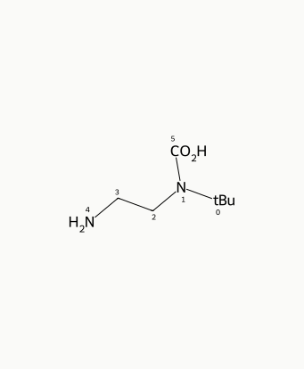 CC(C)(C)N(CCN)C(=O)O